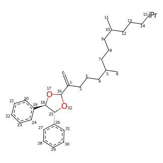 C=C(CCCC(C)CCCC(C)CCCC(C)C)C1O[C@H](c2ccccc2)[C@@H](c2ccccc2)O1